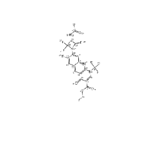 CCOC(=O)c1cn(C(C)(C)C)c2nc3cc(N4C(F)C(NC(C)=O)C4(F)F)c(F)cc3cc2c1=O